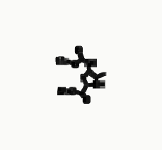 COC(=O)C1NC(C)=C(NC(=O)OC(C)(C)C)S1